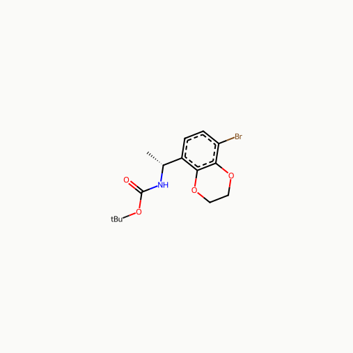 C[C@@H](NC(=O)OC(C)(C)C)c1ccc(Br)c2c1OCCO2